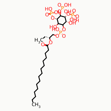 CCCCCCCCCCCCCCCC(=O)O[C@H](CC)COP(=O)(O)OC1C(O)[C@H](OP(=O)(O)O)C(OP(=O)(O)O)[C@H](OP(=O)(O)O)[C@@H]1O